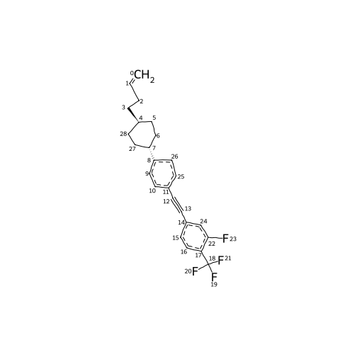 C=CCC[C@H]1CC[C@H](c2ccc(C#Cc3ccc(C(F)(F)F)c(F)c3)cc2)CC1